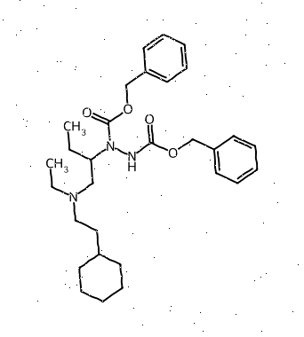 CCC(CN(CC)CCC1CCCCC1)N(NC(=O)OCc1ccccc1)C(=O)OCc1ccccc1